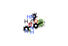 CC(Oc1cc(NC(=O)c2cccnc2F)ccc1C(F)(F)C(F)(F)F)C1CCCN1